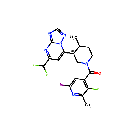 Cc1nc(I)cc(C(=O)N2CCC(C)[C@H](c3cc(C(F)F)nc4ncnn34)C2)c1F